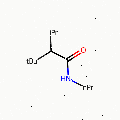 CCCNC(=O)C(C(C)C)C(C)(C)C